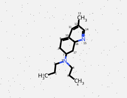 CCCN(CCC)C1CC=C2C=C(C)C=NC2C1